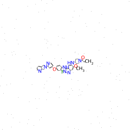 C=CC(=O)N1CCC(Nc2cc3c(Nc4ccc(Oc5ccnc(N6Cc7cccnc7C6)c5)cc4F)ncnc3cc2OC)CC1